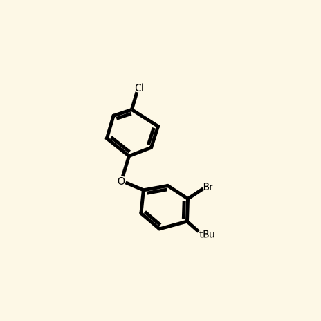 CC(C)(C)c1ccc(Oc2ccc(Cl)cc2)cc1Br